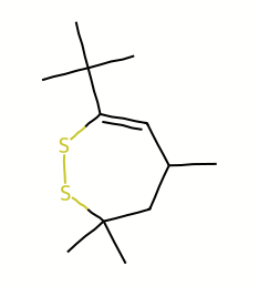 CC1C=C(C(C)(C)C)SSC(C)(C)C1